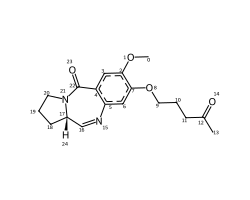 COc1cc2c(cc1OCCCC(C)=O)N=C[C@@H]1CCCN1C2=O